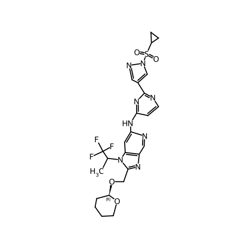 CC(n1c(CO[C@@H]2CCCCO2)nc2cnc(Nc3ccnc(-c4cnn(S(=O)(=O)C5CC5)c4)n3)cc21)C(F)(F)F